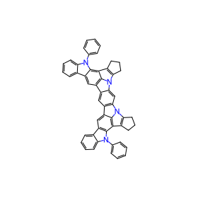 c1ccc(-n2c3ccccc3c3cc4c5cc6c7cc8c9ccccc9n(-c9ccccc9)c8c8c9c(n(c6cc5n5c6c(c(c32)c45)CCC6)c78)CCC9)cc1